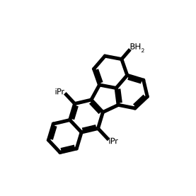 BC1CC=C2c3c(cccc31)-c1c2c(C(C)C)c2ccccc2c1C(C)C